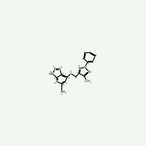 Cc1nn(-c2ccccc2)nc1CSc1cc(N)nc2[nH]nnc12